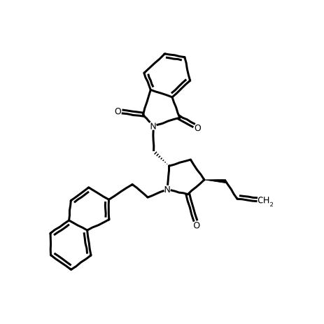 C=CC[C@@H]1C[C@@H](CN2C(=O)c3ccccc3C2=O)N(CCc2ccc3ccccc3c2)C1=O